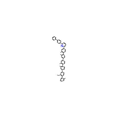 CCc1cc(-c2ccc(-c3ccc(-c4ccc(-c5ccc(-c6cccc(-c7ccc(-c8ccccc8)cc7)n6)cc5C)c(C)c4)cc3C)c(C)c2)ccc1-c1ccccc1C